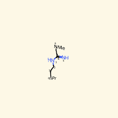 [CH2]CCCCNC(=N)NC